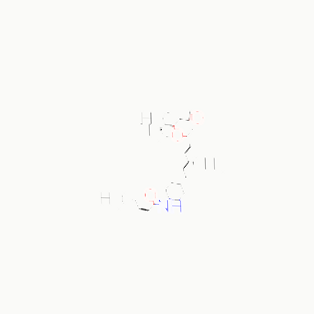 CC/C=C\C(=O)N[C@H]1CC[C@@H](C/C=C(C)/C=C/[C@@H]2C[C@]3(CO3)CC(C)(C)O2)CC1